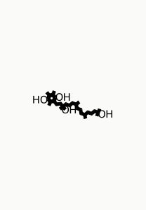 Cc1c(C)c(O)c(CCC(C)(O)CCCC(C)CCCC(C)CCCC(C)(C)O)c(C)c1O